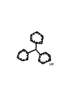 F.c1ccc(C(c2ccccc2)c2ccccc2)cc1